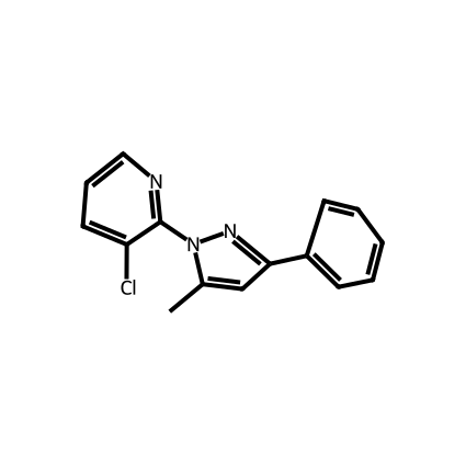 Cc1cc(-c2ccccc2)nn1-c1ncccc1Cl